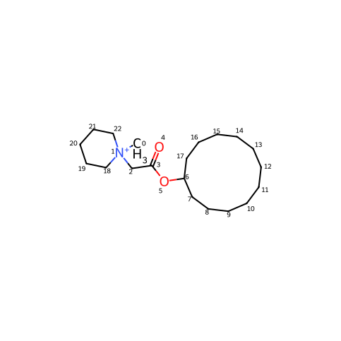 C[N+]1(CC(=O)OC2CCCCCCCCCCC2)CCCCC1